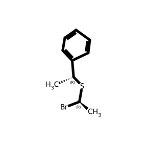 C[C@@H](Br)S[C@H](C)c1ccccc1